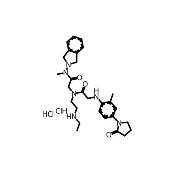 CCNCCN(CC(=O)N(C)N1Cc2ccccc2C1)C(=O)CNc1ccc(N2CCCC2=O)cc1C.Cl.Cl